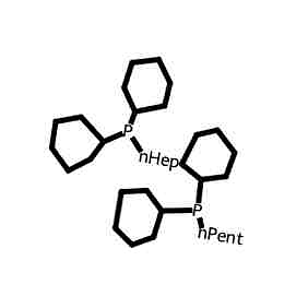 CCCCCCCP(C1CCCCC1)C1CCCCC1.CCCCCP(C1CCCCC1)C1CCCCC1